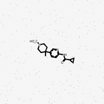 CC1(c2ccc(NC(=O)C3CC3)nc2)CCN(C(=O)O)CC1